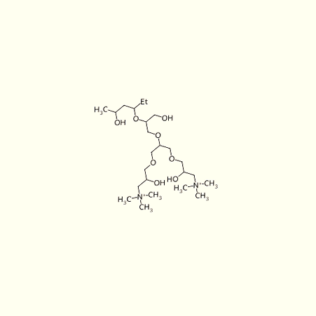 CCC(CC(C)O)OC(CO)COC(COCC(O)C[N+](C)(C)C)COCC(O)C[N+](C)(C)C